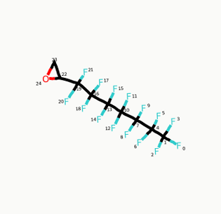 FC(F)(F)C(F)(F)C(F)(F)C(F)(F)C(F)(F)C(F)(F)C(F)(F)C1CO1